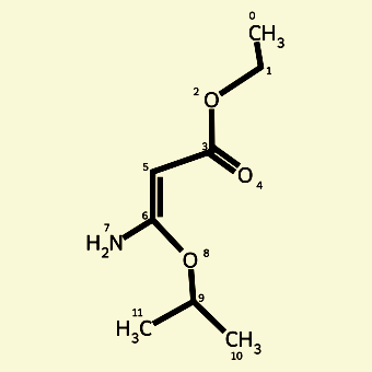 CCOC(=O)C=C(N)OC(C)C